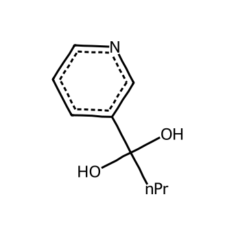 CCCC(O)(O)c1cccnc1